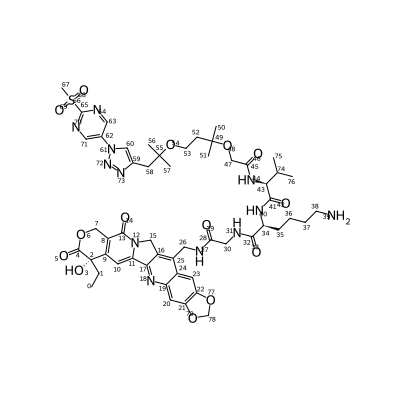 CC[C@@]1(O)C(=O)OCc2c1cc1n(c2=O)Cc2c-1nc1cc3c(cc1c2CNC(=O)CNC(=O)[C@H](CCCCN)NC(=O)[C@@H](NC(=O)COC(C)(C)CCOC(C)(C)Cc1cn(-c2cnc(S(C)(=O)=O)nc2)nn1)C(C)C)OCO3